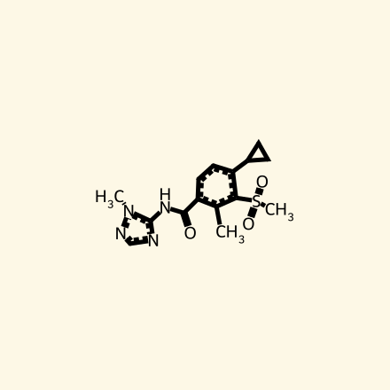 Cc1c(C(=O)Nc2ncnn2C)ccc(C2CC2)c1S(C)(=O)=O